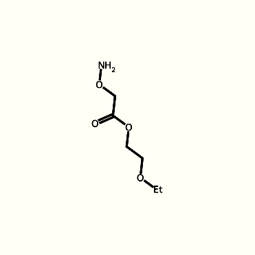 CCOCCOC(=O)CON